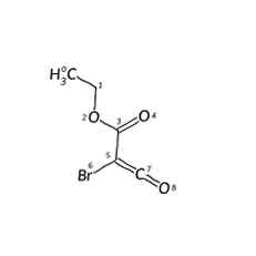 CCOC(=O)C(Br)=C=O